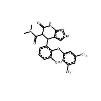 COc1cccc(C2c3c[nH]nc3NC(=O)C2C(=O)N(C)C)c1Oc1cc(C(F)(F)F)cc(C(F)(F)F)c1